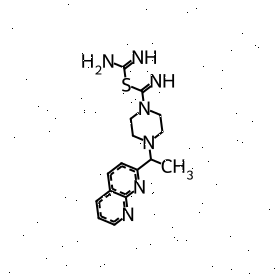 CC(c1ccc2cccnc2n1)N1CCN(C(=N)SC(=N)N)CC1